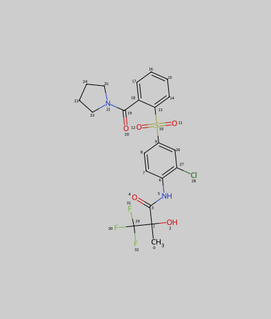 CC(O)(C(=O)Nc1ccc(S(=O)(=O)c2ccccc2C(=O)N2CCCC2)cc1Cl)C(F)(F)F